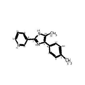 Cc1ccc(-c2nc(-c3cccnc3)sc2C)cc1